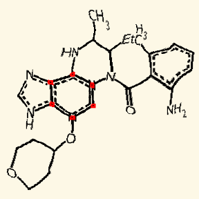 CCC(C(C)Nc1ncnc2[nH]cnc12)N(C(=O)c1c(C)cccc1N)c1cccc(OC2CCOCC2)c1